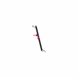 CCCCCCCCCCCCCCCCCCCC(=O)OCCN(CCO)CCCCCCCCCCCCCC